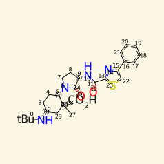 CC(C)(C)N[C@@H]1CC[C@H](N2CC[C@H](NC(=O)c3nc(-c4ccccc4)cs3)C2=O)[C@](C)(C(=O)O)C1